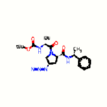 CC[C@H](C)[C@H](NC(=O)OC(C)(C)C)C(=O)N1C[C@@H](N=[N+]=[N-])C[C@H]1C(=O)N[C@H](C)c1ccccc1